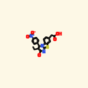 CCc1c(-c2ccc([N+](=O)[O-])cc2)n2c(nc1=O)sc1cc(CC(=O)O)ccc12